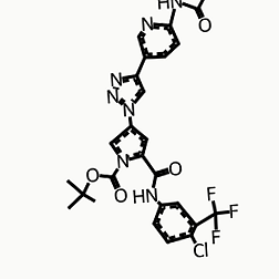 CC(=O)Nc1ccc(-c2cn(-c3cc(C(=O)Nc4ccc(Cl)c(C(F)(F)F)c4)n(C(=O)OC(C)(C)C)c3)nn2)cn1